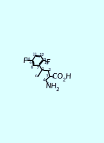 CC(CC(CN)C(=O)O)c1cc(F)ccc1F